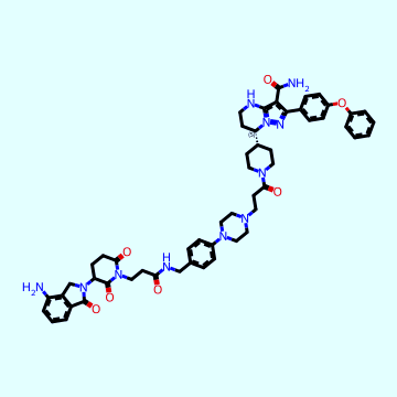 NC(=O)c1c(-c2ccc(Oc3ccccc3)cc2)nn2c1NCC[C@H]2C1CCN(C(=O)CCN2CCN(c3ccc(CNC(=O)CCN4C(=O)CCC(N5Cc6c(N)cccc6C5=O)C4=O)cc3)CC2)CC1